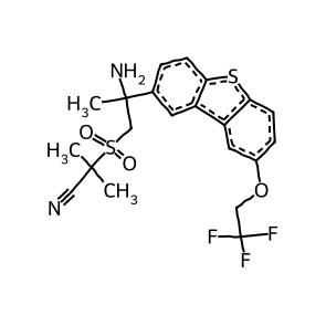 CC(N)(CS(=O)(=O)C(C)(C)C#N)c1ccc2sc3ccc(OCC(F)(F)F)cc3c2c1